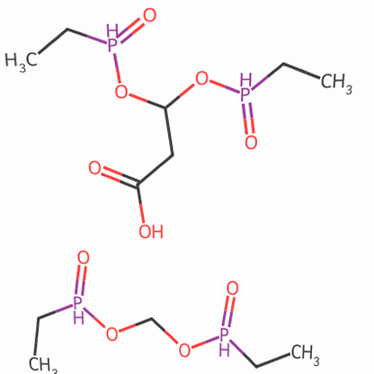 CC[PH](=O)OC(CC(=O)O)O[PH](=O)CC.CC[PH](=O)OCO[PH](=O)CC